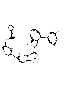 O=C(Nc1cncc(-c2ccc3[nH]nc(-c4cc5c(-c6cccc(F)c6)ccnc5[nH]4)c3n2)c1)C1CCC1